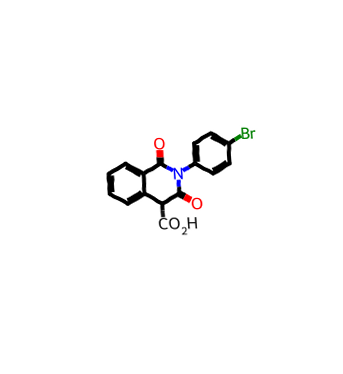 O=C(O)C1C(=O)N(c2ccc(Br)cc2)C(=O)c2ccccc21